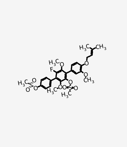 COc1cc(-c2c(OC)c(F)c(-c3ccc(OS(C)(=O)=O)cc3)c(OC)c2OS(C)(=O)=O)ccc1OCC=C(C)C